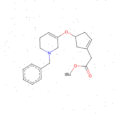 CC(C)(C)OC(=O)CC1=CCC(OC2=CCCN(Cc3ccccc3)C2)C1